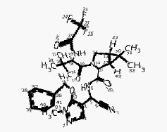 Cn1ncc(C(C#N)NC(=O)[C@@H]2[C@@H]3[C@H](CN2C(=O)[C@@H](NC(=O)C(F)(F)F)C(C)(C)C)C3(C)C)c1OCc1ccccc1